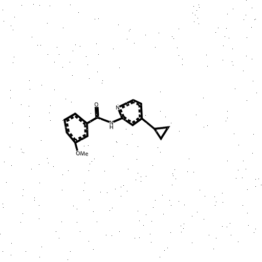 COc1cccc(C(=O)Nc2cc(C3CC3)ccn2)c1